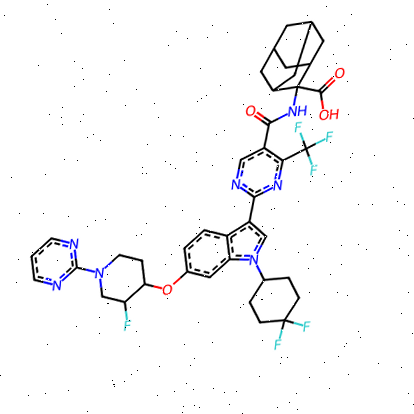 O=C(NC1(C(=O)O)C2CC3CC(C2)CC1C3)c1cnc(-c2cn(C3CCC(F)(F)CC3)c3cc(OC4CCN(c5ncccn5)CC4F)ccc23)nc1C(F)(F)F